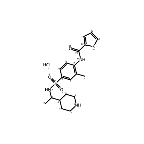 Cc1cc(S(=O)(=O)NC(C)C2CCNCC2)ccc1NC(=O)c1cccs1.Cl